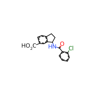 O=C(O)c1ccc2c(c1)C(NC(=O)c1ccccc1Cl)CC2